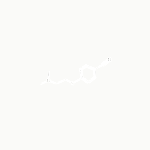 CN(C)CCSc1ccc(C#N)cc1